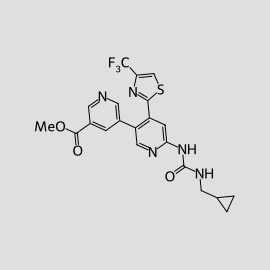 COC(=O)c1cncc(-c2cnc(NC(=O)NCC3CC3)cc2-c2nc(C(F)(F)F)cs2)c1